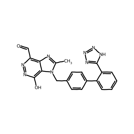 Cc1nc2c(C=O)nnc(O)c2n1Cc1ccc(-c2ccccc2-c2nnn[nH]2)cc1